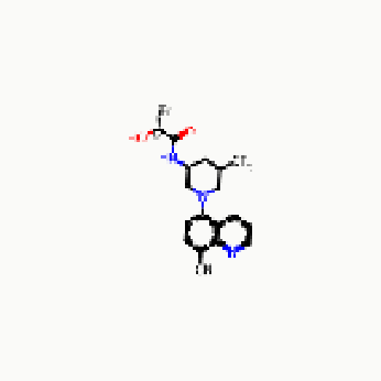 CC(C)[C@H](O)C(=O)NC1CC(C(F)(F)F)CN(c2ccc(C#N)c3ncccc23)C1